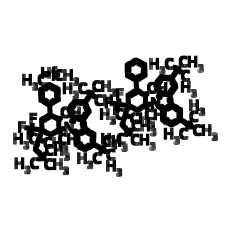 CC(C)(C)CC(C)(C)C1(C(F)(F)F)C=C(c2ccccc2)C(O)C(C)(n2c3ccc(C(C)(C)C)cc3c3cc(C(C)(C)C)ccc32)C1.CC(C)(C)CC(C)(C)C1(C(F)(F)F)C=C(c2ccccc2)C(O)C(C)(n2c3ccc(C(C)(C)C)cc3c3cc(C(C)(C)C)ccc32)C1.[CH3][Hf][CH3]